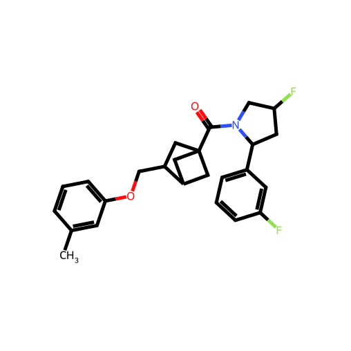 Cc1cccc(OCC2CC3(C(=O)N4CC(F)CC4c4cccc(F)c4)CC2C3)c1